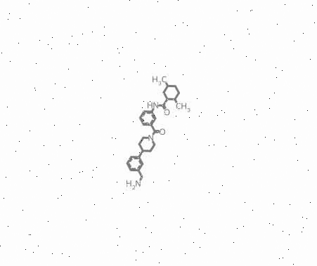 CC1CCC(C)C(C(=O)Nc2cccc(C(=O)N3CCC(c4cccc(CN)c4)CC3)c2)C1